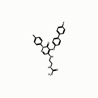 Cc1ccc(-n2ncc(NCCNC(N)=O)c(Oc3ccc(-c4ccc(F)cc4)cc3)c2=O)cc1